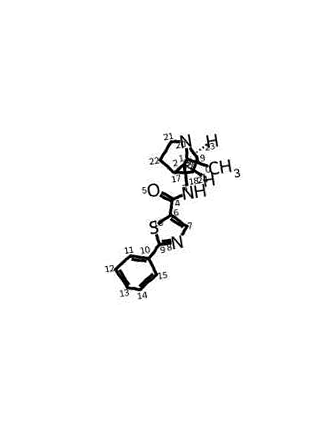 C[C@H]1[C@H](NC(=O)c2cnc(-c3ccccc3)s2)C2CCN1CC2